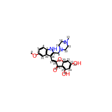 COc1ccc2[nH]c(CN3CCN(C)CC3)c(C=C3Oc4cc(O)cc(O)c4C3=O)c2c1